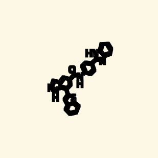 O=C(Nc1ccc(-c2nc3ccccc3[nH]2)cc1)c1cc(-c2cc3ccccc3s2)c2[nH]ncc2c1